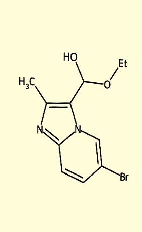 CCOC(O)c1c(C)nc2ccc(Br)cn12